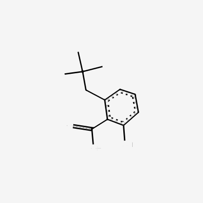 CC(C)(C)Cc1cccc(O)c1C(=O)O